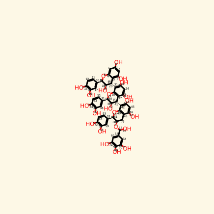 Oc1cc(O)c2c(c1)O[C@H](c1ccc(O)c(O)c1)[C@H](O)[C@H]2c1c(O)cc(O)c2c1O[C@H](c1ccc(O)c(O)c1)[C@H](O)[C@H]2c1c(O)cc(O)c2c1O[C@H](c1ccc(O)c(O)c1)[C@H](OC(O)c1cc(O)c(O)c(O)c1)C2